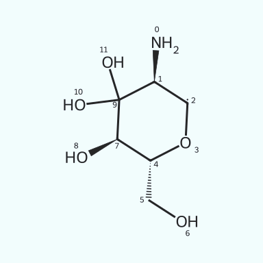 N[C@H]1[CH]O[C@H](CO)[C@@H](O)C1(O)O